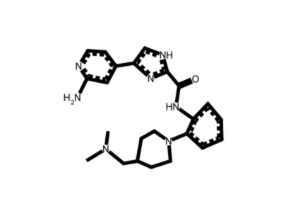 CN(C)CC1CCN(c2ccccc2NC(=O)c2nc(-c3ccnc(N)c3)c[nH]2)CC1